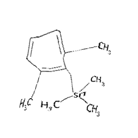 Cc1cccc(C)[c]1[Sn]([CH3])([CH3])[CH3]